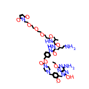 CCOc1nc(N)c2nc(O)n(Cc3ccc(CN4CCN(C(=O)OCc5ccc(NC(=O)[C@H](CCCCN)NC(=O)[C@@H](NC(=O)CCOCCOCCOCCN6C(=O)C=CC6=O)C(C)C)cc5)CC4)cc3OC)c2n1